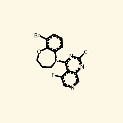 Fc1cncc2nc(Cl)nc(N3CCCOc4c(Br)cccc43)c12